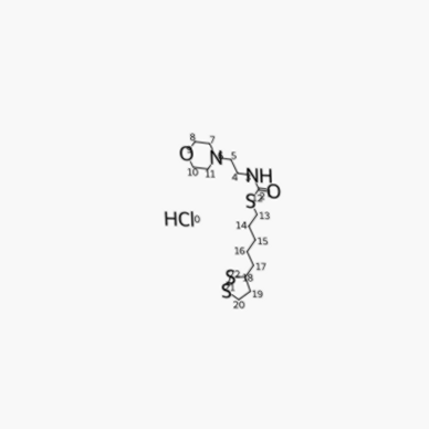 Cl.O=C(NCCN1CCOCC1)SCCCCCC1CCSS1